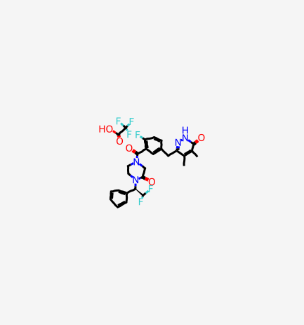 Cc1c(Cc2ccc(F)c(C(=O)N3CCN([C@H](c4ccccc4)C(F)F)C(=O)C3)c2)n[nH]c(=O)c1C.O=C(O)C(F)(F)F